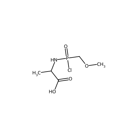 COCP(=O)(Cl)NC(C)C(=O)O